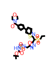 CCCS(=O)(=O)C(c1nnc(CNS(=O)(=O)NC(=O)OC(C)(C)C)o1)c1nc2ccc(-c3ccc(C(=O)N4CCOCC4)cc3)cc2s1